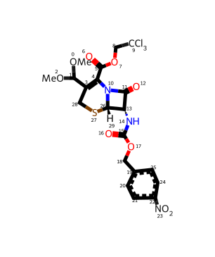 COC(OC)C1=C(C(=O)OCC(Cl)(Cl)Cl)N2C(=O)[C@H](NC(=O)OCc3ccc([N+](=O)[O-])cc3)[C@@H]2SC1